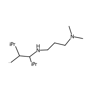 [CH2]C(C(C)C)C(NCCCN(C)C)C(C)C